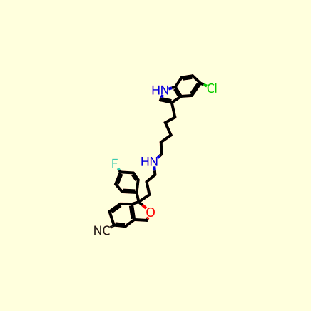 N#Cc1ccc2c(c1)COC2(CCCNCCCCCc1c[nH]c2ccc(Cl)cc12)c1ccc(F)cc1